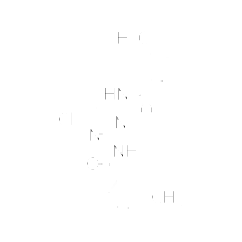 Cc1cccc(C(=O)Nc2cc(Cl)nc(NC(=O)c3cccc(C)c3)n2)c1